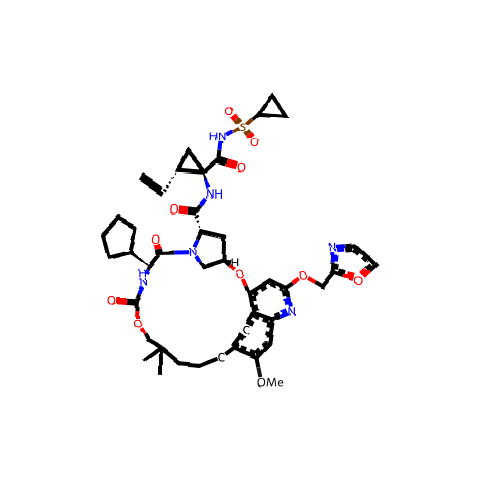 C=C[C@@H]1C[C@]1(NC(=O)[C@@H]1C[C@@H]2CN1C(=O)[C@H](C1CCCC1)NC(=O)OCC(C)(C)CCCc1cc3c(cc(OCc4ncco4)nc3cc1OC)O2)C(=O)NS(=O)(=O)C1CC1